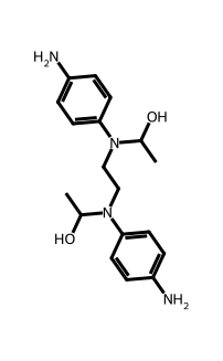 CC(O)N(CCN(c1ccc(N)cc1)C(C)O)c1ccc(N)cc1